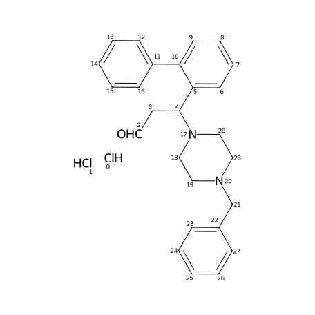 Cl.Cl.O=CCC(c1ccccc1-c1ccccc1)N1CCN(Cc2ccccc2)CC1